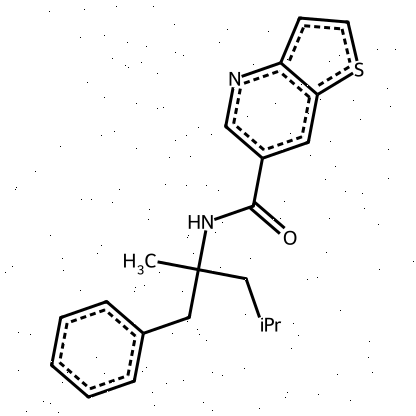 CC(C)CC(C)(Cc1ccccc1)NC(=O)c1cnc2ccsc2c1